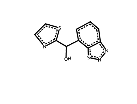 OC(c1nccs1)c1cccc2nnsc12